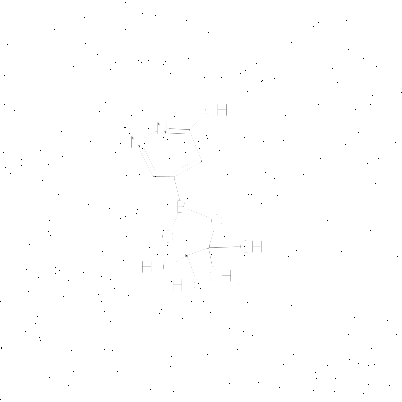 Cc1cc(B2OC(C)(C)C(C)(C)O2)cnn1